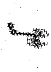 C[C@@H](O)[C@@H](O)[C@H](COC1OC(CO)C(O)C(O)C1O)NC(=O)CCCCCCCCCCc1ccc(Oc2ccccc2)cc1